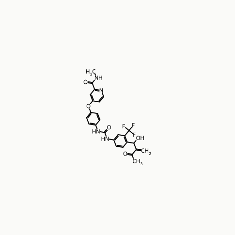 C=C(C(C)=O)C(O)c1ccc(NC(=O)Nc2ccc(Oc3ccnc(C(=O)NC)c3)cc2)cc1C(F)(F)F